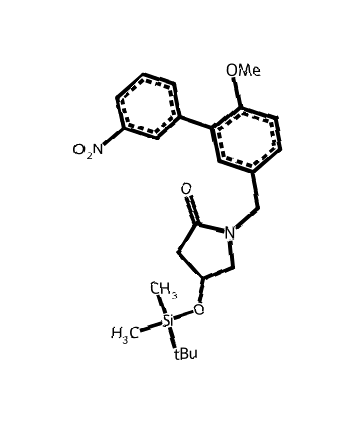 COc1ccc(CN2CC(O[Si](C)(C)C(C)(C)C)CC2=O)cc1-c1cccc([N+](=O)[O-])c1